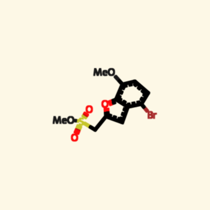 COc1ccc(Br)c2cc(CS(=O)(=O)OC)oc12